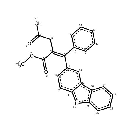 COC(=O)C(CC(=O)O)=C(c1ccccc1)c1ccc2oc3ccccc3c2c1